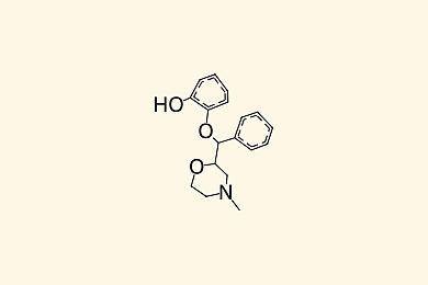 CN1CCOC(C(Oc2ccccc2O)c2ccccc2)C1